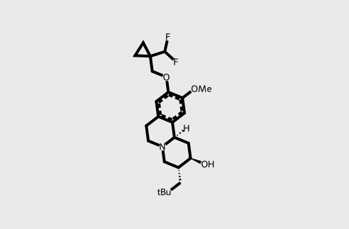 COc1cc2c(cc1OCC1(C(F)F)CC1)CCN1C[C@@H](CC(C)(C)C)[C@H](O)C[C@H]21